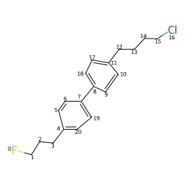 FCCCc1ccc(-c2ccc(CCCCCl)cc2)cc1